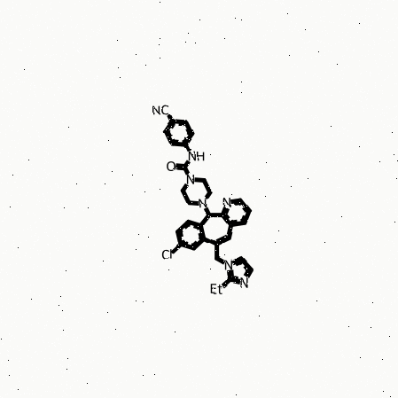 CCc1nccn1CC1=Cc2cccnc2C(N2CCN(C(=O)Nc3ccc(C#N)cc3)CC2)c2ccc(Cl)cc21